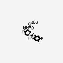 CC(C)(C)OC(=O)N[C@@H]1CN(c2nc3cc(F)c(F)cc3[nH]2)CCC1(F)F